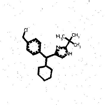 CC(C)(C)c1nc(C(c2ccc(CCl)cc2)C2CCCCC2)c[nH]1